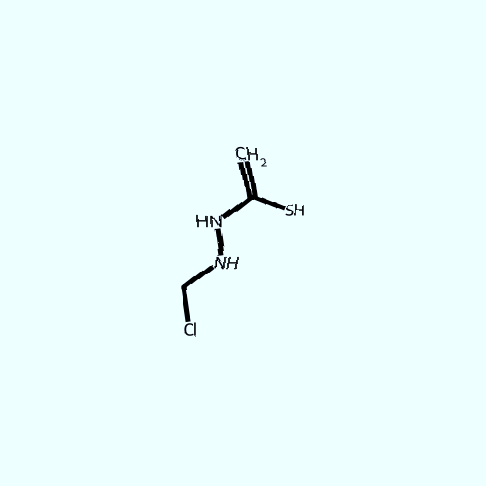 C=C(S)NNCCl